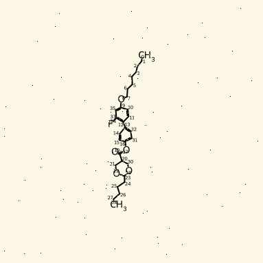 CCCCCCCCOc1ccc(-c2ccc(OC(=O)C3COC(CCCCC)OC3)cc2)c(F)c1